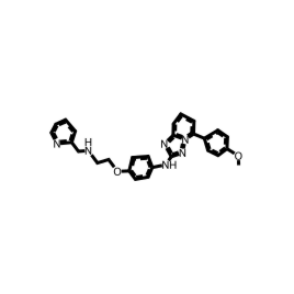 COc1ccc(-c2cccc3nc(Nc4ccc(OCCNCc5ccccn5)cc4)nn23)cc1